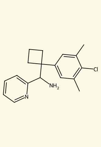 Cc1cc(C2(C(N)c3ccccn3)CCC2)cc(C)c1Cl